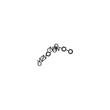 CC(=O)N1CCN(c2ccc3c(c2)CCN(CS(=O)(=O)N(C)Cc2ccc(-c4ccccc4)cc2)C3)CC1